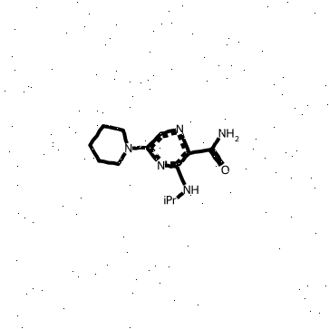 CC(C)Nc1nc(N2CCCCC2)cnc1C(N)=O